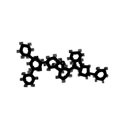 c1ccc(-c2ccc3c(c2)c2ccccc2n3-c2cccc3c2oc2ccc(-c4nc(-c5ccccc5)cc(-c5ccccc5)n4)cc23)cc1